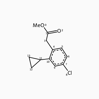 COC(=O)Cc1ccc(Cl)cc1C1CC1